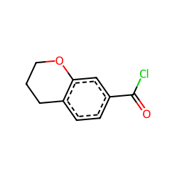 O=C(Cl)c1ccc2c(c1)OCCC2